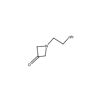 CCCCCN1CC(=O)C1